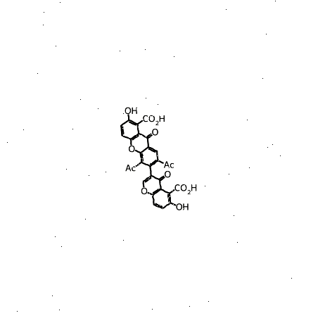 CC(=O)c1cc2c(=O)c3c(C(=O)O)c(O)ccc3oc2c(C(C)=O)c1-c1coc2ccc(O)c(C(=O)O)c2c1=O